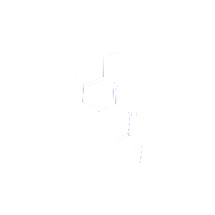 CCc1nc(NC(=O)OC)ccc1I